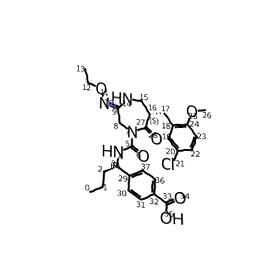 CCC[C@@H](NC(=O)N1C/C(=N/OCC)NC[C@H](Cc2cc(Cl)ccc2OC)C1=O)c1ccc(C(=O)O)cc1